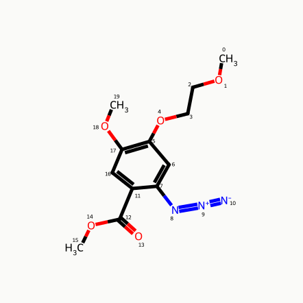 COCCOc1cc(N=[N+]=[N-])c(C(=O)OC)cc1OC